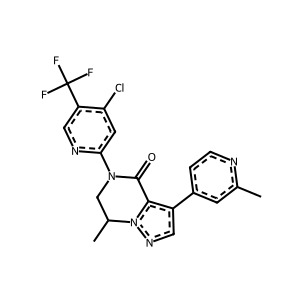 Cc1cc(-c2cnn3c2C(=O)N(c2cc(Cl)c(C(F)(F)F)cn2)CC3C)ccn1